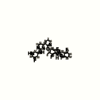 Cc1c(Oc2ncccc2-c2ccnc(NC3CNC[C@@H](F)C3)n2)cc(F)c(NS(=O)(=O)Cc2c(F)cccc2F)c1F